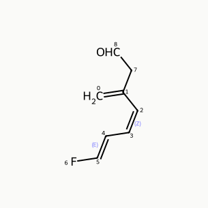 C=C(/C=C\C=C\F)CC=O